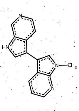 Cn1cc(-c2c[nH]c3cnccc23)c2cccnc21